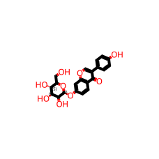 O=c1c(-c2ccc(O)cc2)coc2cc(O[C@@H]3OC(CO)[C@@H](O)[C@H](O)C3O)ccc12